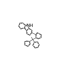 CC(c1ccccc1)(c1ccccc1)c1ccccc1-c1ccc2c(c1)[nH]c1ccccc12